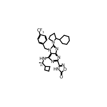 C[C@@H](Nc1nc(-c2noc(=O)[nH]2)nc2nc(N3CCCC3C3CCCCC3)n(Cc3ccc(C(F)(F)F)cc3)c12)C1CCC1